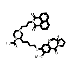 COc1cc2c(cc1OCCCCC1CN(CCCN3C(=O)c4cccc5cccc(c45)C3=O)CCN1C(=S)S)N=C[C@@H]1CCCN1C2=O